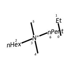 CCC.CCCCCC[N+](C)(C)CCCCC